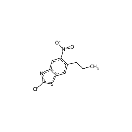 CCCc1cc2sc(Cl)nc2cc1[N+](=O)[O-]